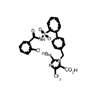 CCCCc1nc(C(F)(F)F)c(C(=O)O)n1Cc1ccc(-c2ccccc2S(=O)(=O)NC(=O)c2ccccc2Cl)cc1